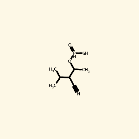 CC(C)C(C#N)C(C)O[PH](=O)S